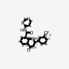 O=C(Nc1ccncn1)c1cccc2c(=O)cc(-c3cccc(C(F)(F)F)c3)[nH]c12